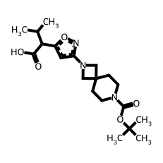 CC(C)C(C(=O)O)c1cc(N2CC3(CCN(C(=O)OC(C)(C)C)CC3)C2)no1